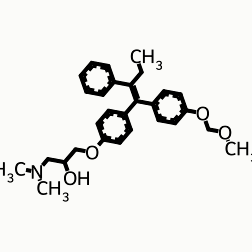 CC/C(=C(\c1ccc(OCOC)cc1)c1ccc(OCC(O)CN(C)C)cc1)c1ccccc1